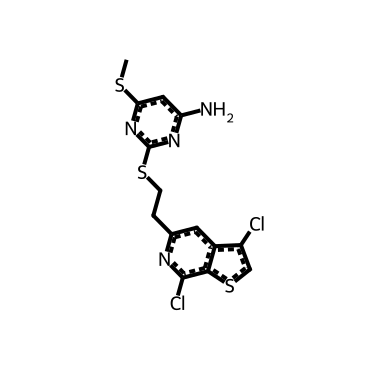 CSc1cc(N)nc(SCCc2cc3c(Cl)csc3c(Cl)n2)n1